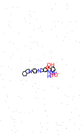 O=C(O)c1cccc([N+](=O)[O-])c1Nc1ccc2c(c1)CN(c1ccc(N3CCC4CCCCC4C3)cc1)C2